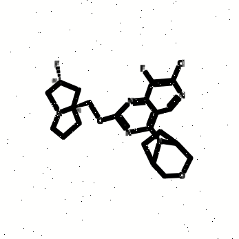 Fc1c(Cl)ncc2c(N3C4CCC3COC4)nc(OC[C@@]34CCCN3C[C@H](F)C4)nc12